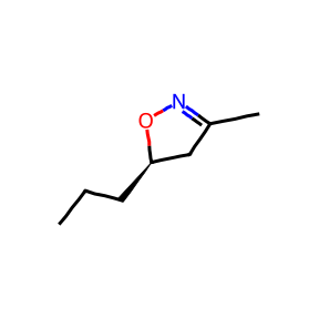 CCC[C@@H]1CC(C)=NO1